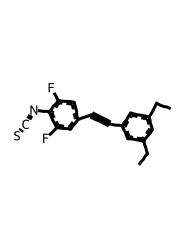 CCc1cc(C#Cc2cc(F)c(N=C=S)c(F)c2)cc(CC)c1